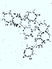 c1ccc(-c2nc3ccc4ccc(-c5cccc(-c6nc7ccccc7nc6-c6ccccc6)c5)cc4c3s2)cc1